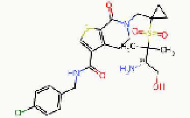 CC(C)([C@@H](N)CO)S(=O)(=O)C1(CN2CCc3c(C(=O)NCc4ccc(Cl)cc4)csc3C2=O)CC1